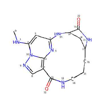 CNc1cc2nc3c(cnn13)C(=O)NCCCC1CC(N2)C(=O)N1